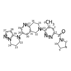 Cc1cc(C(=O)N2CCCC2)nnc1N1CCc2ncc(N3CCCn4nccc43)cc2C1